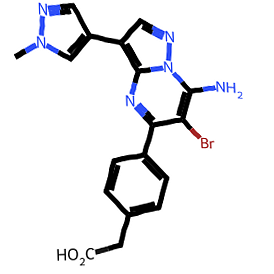 Cn1cc(-c2cnn3c(N)c(Br)c(-c4ccc(CC(=O)O)cc4)nc23)cn1